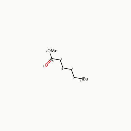 CCC(C)CCCCC(=O)OC